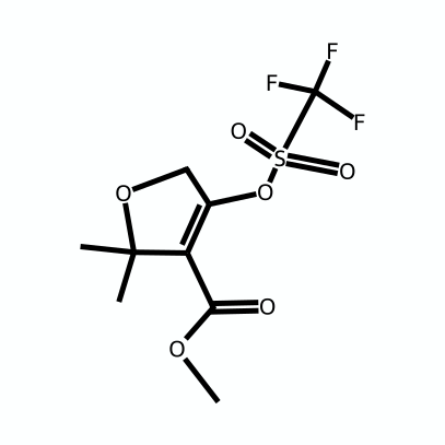 COC(=O)C1=C(OS(=O)(=O)C(F)(F)F)COC1(C)C